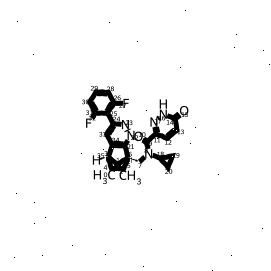 CC1(C)[C@H]2CC[C@]1(CN(C(=O)c1ccc(=O)[nH]n1)C1CC1)c1nnc(-c3c(F)cccc3F)cc12